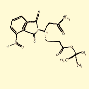 CC(C)(C)OC(=O)CC[C@@H](CC(N)=O)N1C(=O)c2cccc([N+](=O)[O-])c2C1=O